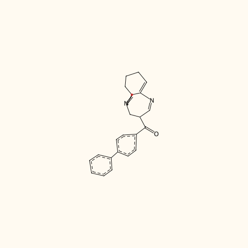 O=C(c1ccc(-c2ccccc2)cc1)C1C=NC2=CCCCC23CC=CN=C3C1